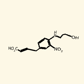 O=C(O)C=CCc1ccc(NCCO)c([N+](=O)[O-])c1